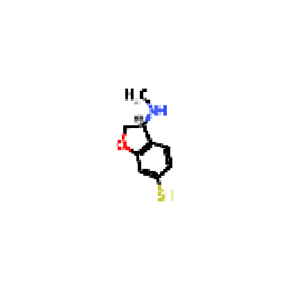 CN[C@@H]1COc2cc(S)ccc21